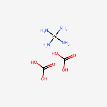 O=C(O)O.O=C(O)O.[NH2][Pd]([NH2])([NH2])[NH2]